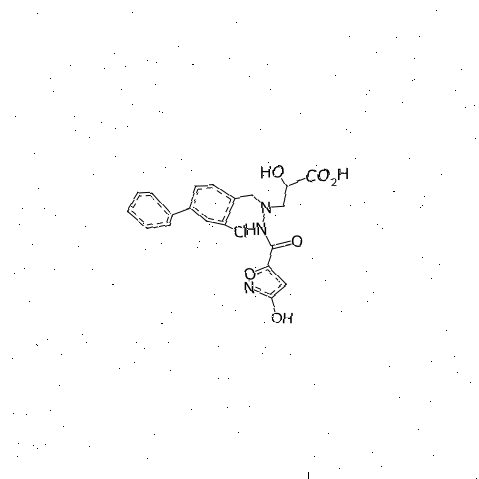 O=C(NN(Cc1ccc(-c2ccccc2)cc1Cl)CC(O)C(=O)O)c1cc(O)no1